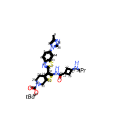 Cc1cn(-c2ccc3nc(-c4c(NC(=O)C5CC(NC(C)C)C5)sc5c4CCN(C(=O)OC(C)(C)C)C5)sc3c2)cn1